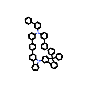 c1ccc(-c2cccc(N(c3cccc(-c4ccccc4)c3)c3cccc(-c4ccc(-c5ccc6c7ccccc7n(-c7ccc8c(c7)-c7ccccc7C8(c7ccccc7)c7ccccc7)c6c5)cc4)c3)c2)cc1